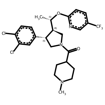 C[C@H](Oc1ccc(C(F)(F)F)cn1)[C@H]1CN(C(=O)C2CCN(C)CC2)C[C@@H]1c1ccc(Cl)c(Cl)c1